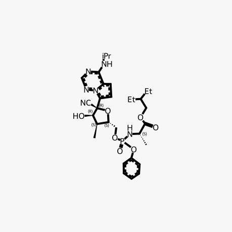 CCC(CC)COC(=O)[C@H](C)NP(=O)(OC[C@H]1O[C@@](C#N)(c2ccc3c(NC(C)C)ncnn23)[C@H](O)[C@@H]1C)Oc1ccccc1